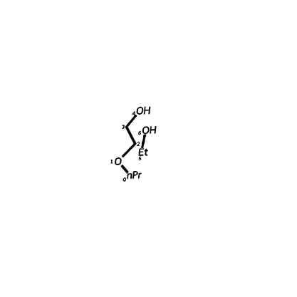 CCCOCCO.CCO